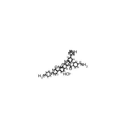 COc1nc(N2CCN(C)CC2)ncc1-c1ccc(C[C@@H](C(N)=O)N(c2ccc(-c3nn[nH]n3)cc2)C(=O)[C@H]2CC[C@H](CN)CC2)cc1.Cl